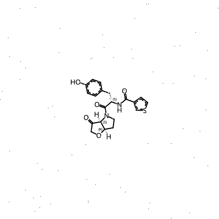 O=C(N[C@@H](Cc1ccc(O)cc1)C(=O)N1CC[C@H]2OCC(=O)[C@H]21)c1ccsc1